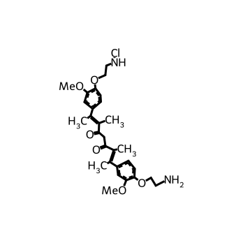 COc1cc(/C(C)=C(\C)C(=O)CC(=O)/C(C)=C(\C)c2ccc(OCCNCl)c(OC)c2)ccc1OCCN